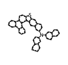 c1ccc2cc(N(c3ccc4ccccc4c3)c3ccc4cc5sc6ccc7c8ccccc8c8ccccc8c7c6c5cc4c3)ccc2c1